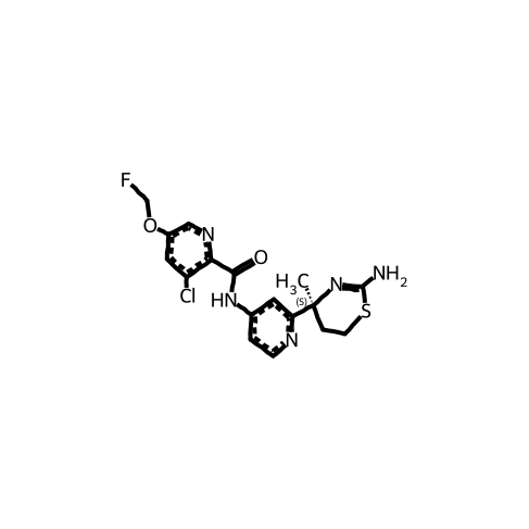 C[C@@]1(c2cc(NC(=O)c3ncc(OCF)cc3Cl)ccn2)CCSC(N)=N1